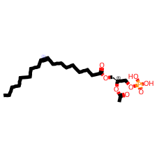 CCCCCCCC/C=C\CCCCCCCC(=O)OC[C@H](COP(=O)(O)O)OC(C)=O